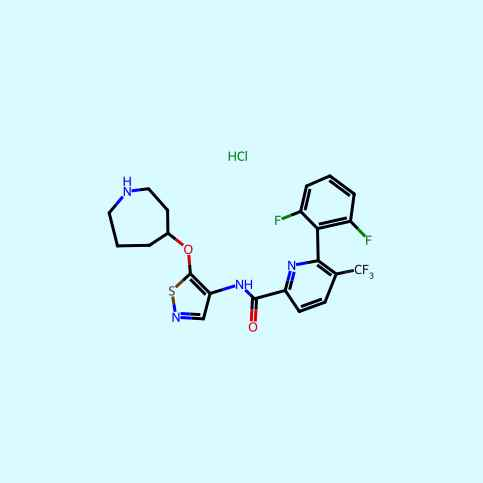 Cl.O=C(Nc1cnsc1OC1CCCNCC1)c1ccc(C(F)(F)F)c(-c2c(F)cccc2F)n1